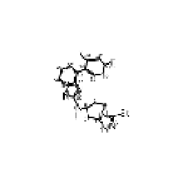 CCc1nnc2n1CCC(Nc1nc3c(C4=CCC(F)C=C4C)cccn3n1)C2